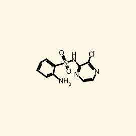 Nc1ccccc1S(=O)(=O)Nc1nccnc1Cl